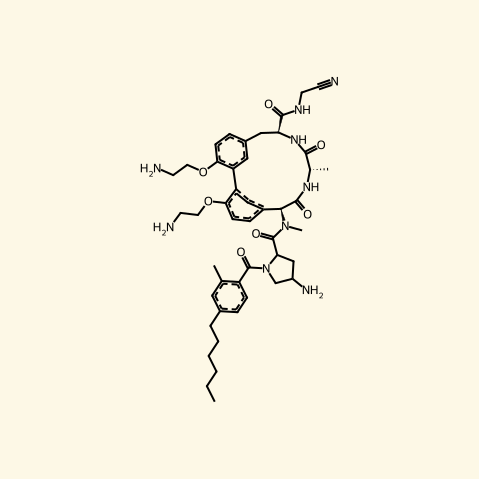 CCCCCCc1ccc(C(=O)N2CC(N)CC2C(=O)N(C)[C@@H]2C(=O)N[C@@H](C)C(=O)N[C@H](C(=O)NCC#N)Cc3ccc(OCCN)c(c3)-c3cc2ccc3OCCN)c(C)c1